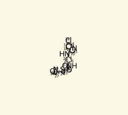 O=S(=O)(N[C@H]1CC[C@@H](Nc2ccnc3cc(Cl)ccc23)CC1)c1ccc(-c2ccon2)s1